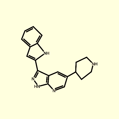 c1ccc2[nH]c(-c3n[nH]c4ncc(C5CCNCC5)cc34)cc2c1